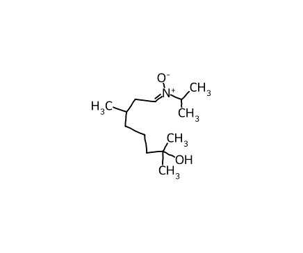 CC(CC=[N+]([O-])C(C)C)CCCC(C)(C)O